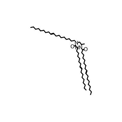 CCCCCCCCC=CCCCCCCCCN(CC(C)NC(=O)CCCCCCCC=CCCCCCCCC)C(=O)CCCCCCCC=CCCCCCCCC